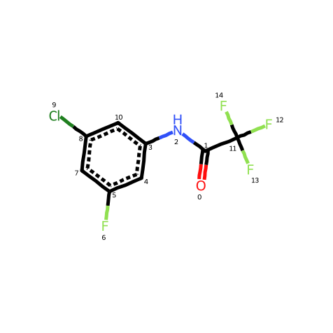 O=C(Nc1cc(F)cc(Cl)c1)C(F)(F)F